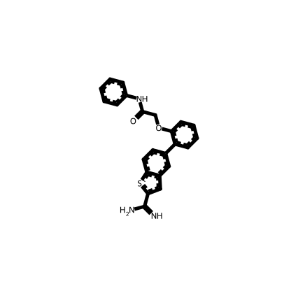 N=C(N)c1cc2cc(-c3ccccc3OCC(=O)Nc3ccccc3)ccc2s1